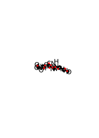 N#Cc1cc(-c2ncnc(Nc3ccc(N4CCN(C5COC5)CC4)cc3)n2)ccc1O[C@H]1CCN(C(=O)[C@@H]2COC(=O)N2)C[C@@H]1F